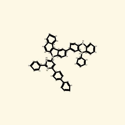 c1ccc(-c2ccc(-c3cc(-n4c5ccc(-c6ccc7c(c6)N(c6ccccc6)c6ccccc6S7)cc5c5c6ccccc6ccc54)nc(-c4ccccc4)n3)cc2)cc1